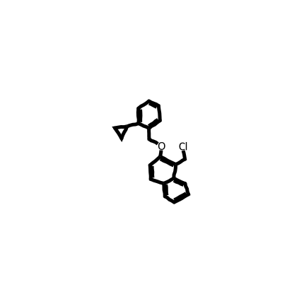 ClCc1c(OCc2ccccc2C2CC2)ccc2ccccc12